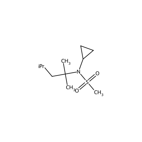 CC(C)CC(C)(C)N(C1CC1)S(C)(=O)=O